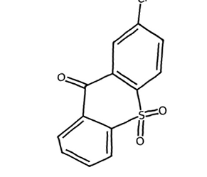 O=C1c2ccccc2S(=O)(=O)c2ccc(Cl)cc21